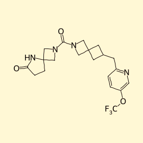 O=C1CCC2(CN(C(=O)N3CC4(CC(Cc5ccc(OC(F)(F)F)cn5)C4)C3)C2)N1